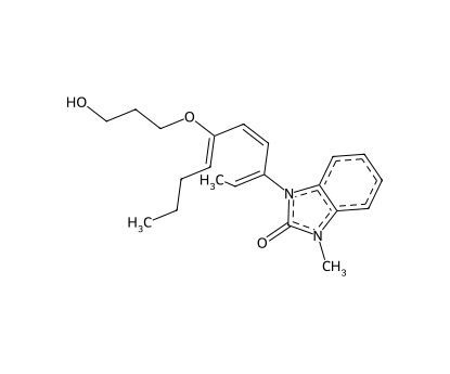 C\C=C(/C=C\C(=C\CCC)OCCCO)n1c(=O)n(C)c2ccccc21